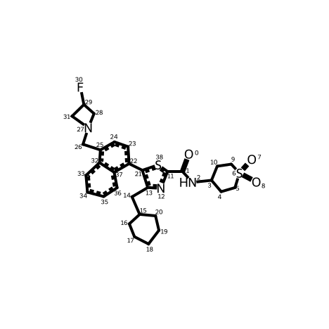 O=C(NC1CCS(=O)(=O)CC1)c1nc(CC2CCCCC2)c(-c2ccc(CN3CC(F)C3)c3ccccc23)s1